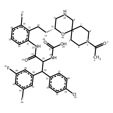 CC(=O)N1CCC2(CC1)CNC[C@@H](CCc1c(F)cccc1NC(=O)C(NC(=O)O)C(c1ccc(Cl)cc1)c1cc(F)cc(F)c1)O2